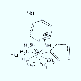 CC(C)(C)[NH][Zr]([CH3])([CH3])([CH3])([CH3])([CH3])(=[SiH2])([C]1=CC=CC1)[c]1ccccc1.Cl.Cl